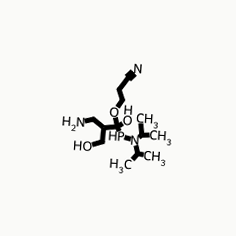 CC(C)N(PC(O)(OCCC#N)C(CN)CO)C(C)C